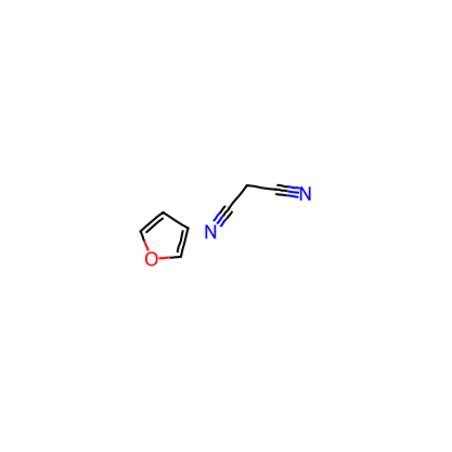 N#CCC#N.c1ccoc1